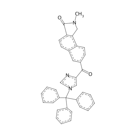 CN1Cc2c(ccc3cc(C(=O)c4cn(C(c5ccccc5)(c5ccccc5)c5ccccc5)cn4)ccc23)C1=O